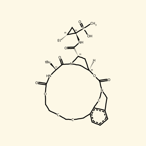 CC[C@@H]1C[C@]1(NC(=O)[C@@H]1C[C@@H]2CN1C(=O)[C@H](C(C)(C)C)NC(=O)OCCCCCCc1cccc3c1CN(C3)C(=O)O2)P(C)(=O)O